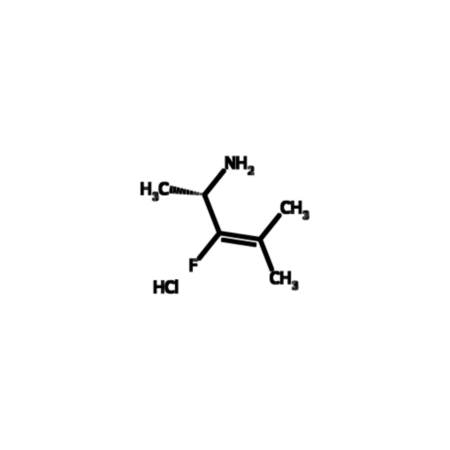 CC(C)=C(F)[C@H](C)N.Cl